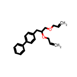 C=CCOCC(Cc1ccc(-c2ccccc2)cc1)OCC=C